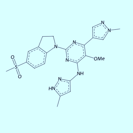 COc1c(Nc2cc(C)[nH]n2)nc(N2CCc3cc(S(C)(=O)=O)ccc32)nc1-c1cnn(C)c1